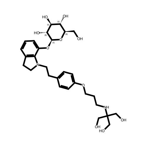 OC[C@H]1O[C@@H](Oc2cccc3c2N(CCc2ccc(OCCCNC(CO)(CO)CO)cc2)CC3)[C@H](O)[C@@H](O)[C@@H]1O